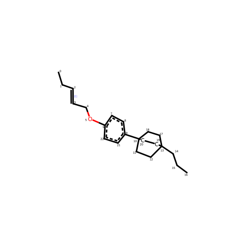 CC/C=C/COc1ccc(C23CCC(CCC)(CC2)CC3)cc1